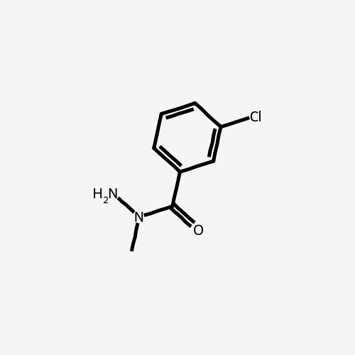 CN(N)C(=O)c1cccc(Cl)c1